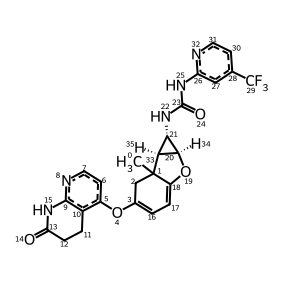 CC12CC(Oc3ccnc4c3CCC(=O)N4)=CC=C1O[C@@H]1[C@@H](NC(=O)Nc3cc(C(F)(F)F)ccn3)[C@@H]12